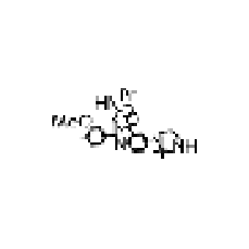 COc1cc(-c2nc3ccc(N4CCCNCC4(C)C)cc3c(=O)n2CC(=O)NC(C)C)ccc1F